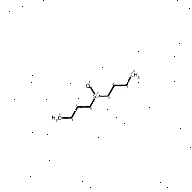 CCC[CH2][Sb]([Cl])[CH2]CCC